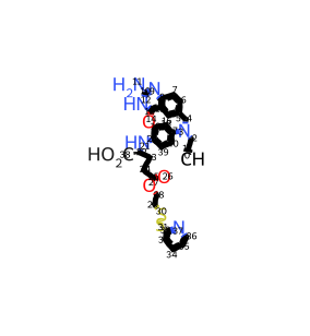 C#CCN(Cc1ccc2nc(N)[nH]c(=O)c2c1)c1ccc(N[C@@H](CCC(=O)OCCSSc2ccccn2)C(=O)O)cc1